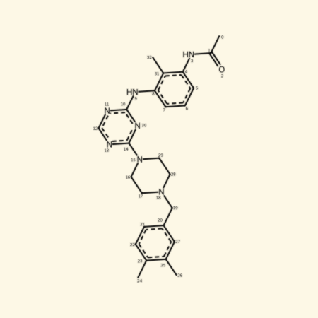 CC(=O)Nc1cccc(Nc2ncnc(N3CCN(Cc4ccc(C)c(C)c4)CC3)n2)c1C